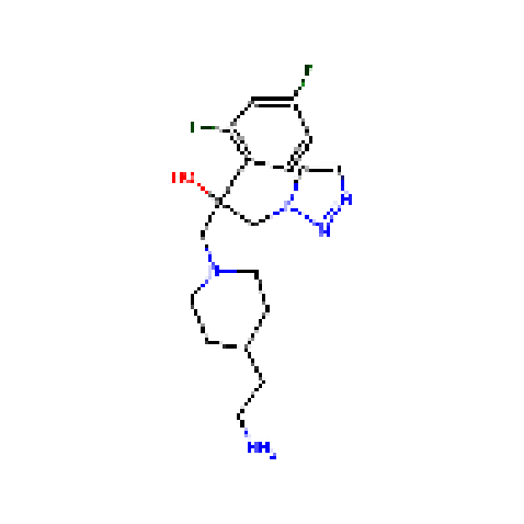 NCCC1CCN(CC(O)(Cn2ccnn2)c2ccc(F)cc2F)CC1